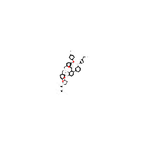 COc1ccc(CN(Cc2ccc(OC)cc2)S(=O)(=O)c2c(S(=O)(=O)NC3CCN(C(=O)OC(C)(C)C)C3)ccc(-c3cccc(Nc4nc(C(=O)O)cs4)c3)c2-c2nnn(Cc3ccc(OC)cc3)n2)cc1